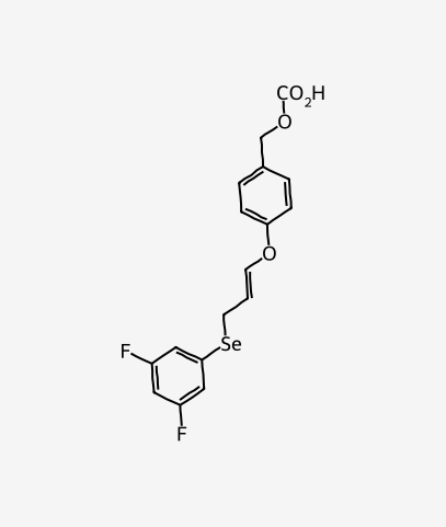 O=C(O)OCc1ccc(OC=CC[Se]c2cc(F)cc(F)c2)cc1